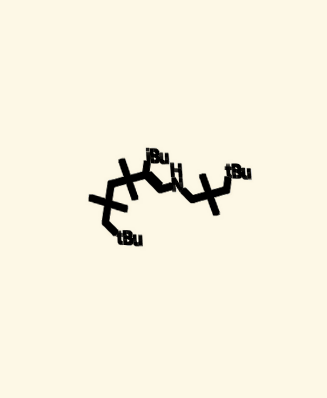 CCC(C)/C(=C\NCC(C)(C)CC(C)(C)C)C(C)(C)CC(C)(C)CC(C)(C)C